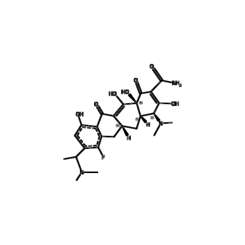 CC(c1cc(O)c2c(c1F)C[C@H]1C[C@H]3[C@H](N(C)C)C(O)=C(C(N)=O)C(=O)[C@@]3(O)C(O)=C1C2=O)N(C)C